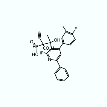 C#CC(C(=O)O)([PH](=O)O)C(C)(O)c1c(-c2ccc(F)c(C)c2)cc(-c2ccccc2)nc1C(C)C